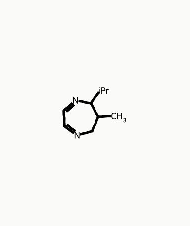 CC(C)C1N=CC=NCC1C